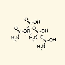 NC(=O)O.NC(=O)O.NC(=O)O.NC(=O)O